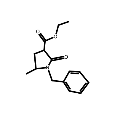 CCOC(=O)C1CC(C)N(Cc2ccccc2)C1=O